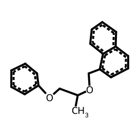 CC(COc1ccccc1)OCc1cccc2ccccc12